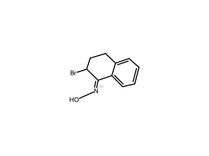 O/N=C1/c2ccccc2CCC1Br